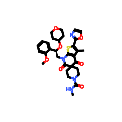 CNC(=O)N1CCC2(CC1)C(=O)c1c(sc(-c3ncco3)c1C)N(C[C@H](OC1CCOCC1)c1ccccc1OC)C2=O